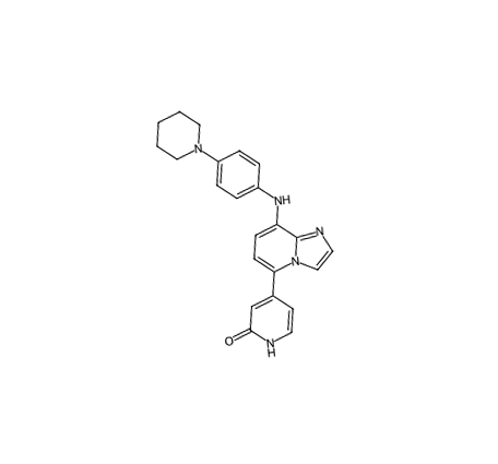 O=c1cc(-c2ccc(Nc3ccc(N4CCCCC4)cc3)c3nccn23)cc[nH]1